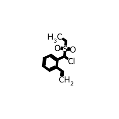 C=Cc1ccccc1C(Cl)S(=O)(=O)CC